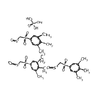 Cc1cc(S(=O)(=O)C[S+]=O)cc(C)c1C.Cc1cc(S(=O)(=O)C[S+]=O)cc(C)c1C.Cc1cc(S(=O)(=O)C[S+]=O)cc(C)c1C.O=P(O)(O)O